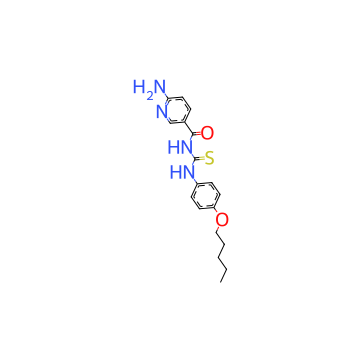 CCCCCOc1ccc(NC(=S)NC(=O)c2ccc(N)nc2)cc1